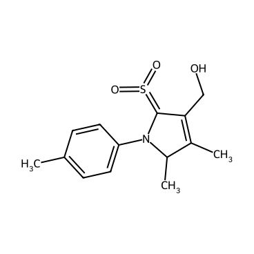 CC1=C(CO)C(=S(=O)=O)N(c2ccc(C)cc2)C1C